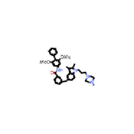 COc1cc(NC(=O)c2cccc(Cc3ccc4c(c3)c(C)c(C)n4CCCN3CCN(C)CC3)c2)cc(OC)c1-c1ccccc1